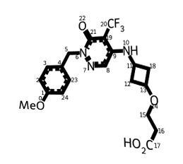 COc1ccc(Cn2ncc(NC3CC(OCCC(=O)O)C3)c(C(F)(F)F)c2=O)cc1